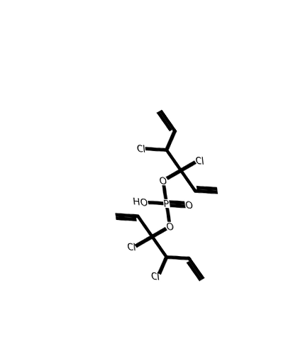 C=CC(Cl)C(Cl)(C=C)OP(=O)(O)OC(Cl)(C=C)C(Cl)C=C